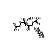 C=C.N.N.O=C(O)CCC(=O)O.O=C(O)CCC(=O)O.[NaH].[NaH].[NaH]